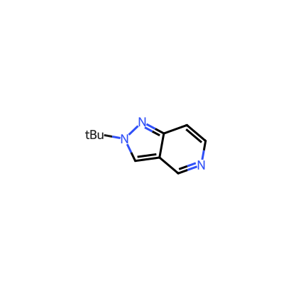 CC(C)(C)n1cc2cnccc2n1